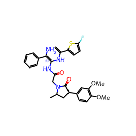 C=C(N/C(NC(=O)CN1C(=O)C(c2ccc(OC)c(OC)c2)CC1C)=C(\N)c1ccccc1)c1ccc(F)s1